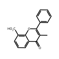 Cc1c(-c2ccccc2)oc2c(C(=O)O)cccc2c1=O